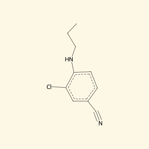 CCCNc1ccc(C#N)cc1Cl